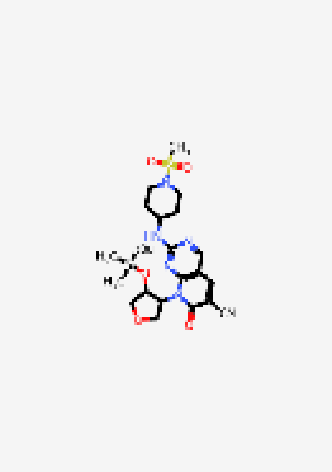 CC(C)(C)[Si](C)(C)OC1COCC1n1c(=O)c(C#N)cc2cnc(NC3CCN(S(C)(=O)=O)CC3)nc21